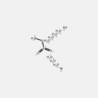 B[O][V](=[O])=[O].O.O.O.O.O.O.O.[KH].[Ni]